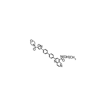 CN(O)C(=O)c1cc(-c2ccc(-c3ccc(-c4cc(C(=O)N5CCOCC5)on4)cc3)cc2)nc2ccncc12